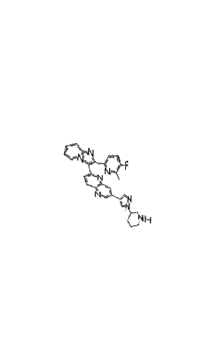 Cc1nc(-c2nc3ccccn3c2-c2ccc3ncc(-c4cnn(C5CCCNC5)c4)cc3n2)ccc1F